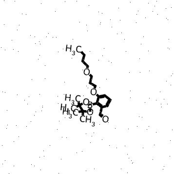 CCCCOCCCOc1cccc(C=O)c1B1OC(C)(C)C(C)(C)O1